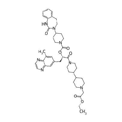 CCOC(=O)CN1CCC(C2CCN(C(=O)[C@@H](Cc3cc(C)c4nccnc4c3)OC(=O)N3CCC(N4CCc5ccccc5NC4=O)CC3)CC2)CC1